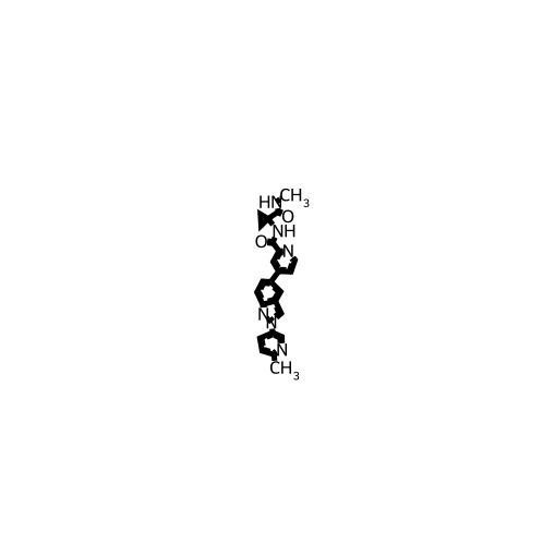 CNC(=O)C1(NC(=O)c2cc(-c3ccc4nn(-c5ccc(C)nc5)cc4c3)ccn2)CC1